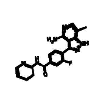 Cc1cnc(N)c2c(-c3ccc(C(=O)NC4=NC=CCC4)cc3F)n[nH]c12